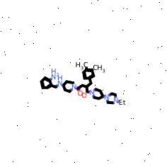 CCN1CCN(C2CCN(C(=O)C(CC(=O)N3CCC(NCc4ccccc4N)CC3)Cc3ccc(C)c(C)c3)CC2)CC1